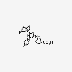 CN1CCN(c2cc(NC3CCCN(C(=O)O)C3)nc(-c3cnc4ccc(F)cn34)n2)CC1